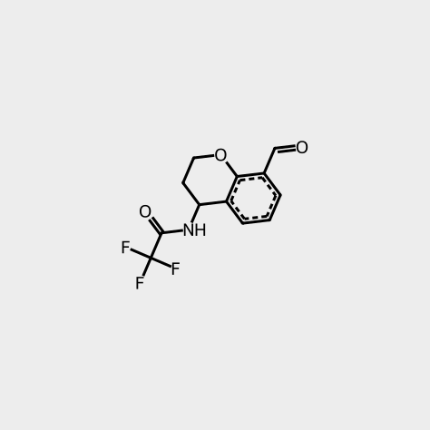 O=Cc1cccc2c1OCCC2NC(=O)C(F)(F)F